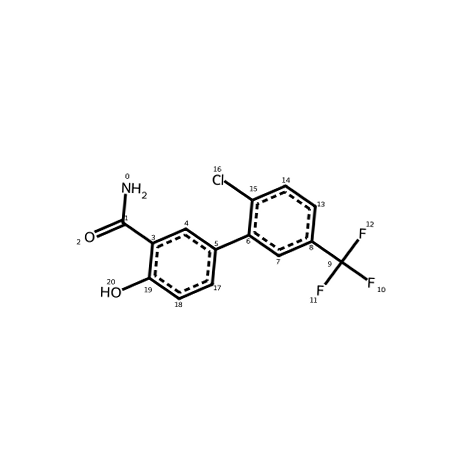 NC(=O)c1cc(-c2cc(C(F)(F)F)ccc2Cl)ccc1O